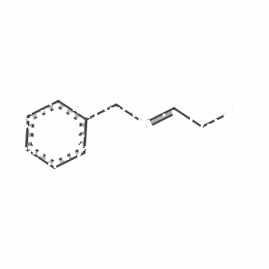 CC(=O)CC=NCc1ccccc1